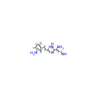 N=C/C=C(\N)C1=NC=C(C=CC2=C(F)C=CC(N)C2F)CN1